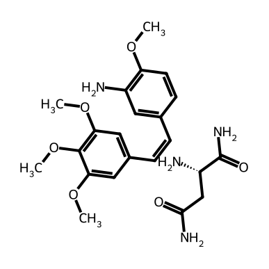 COc1ccc(/C=C\c2cc(OC)c(OC)c(OC)c2)cc1N.NC(=O)C[C@H](N)C(N)=O